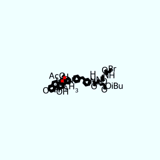 CC(=O)OCC(=O)[C@@]12CN(c3ccc(Cc4cccc(NC(=O)[C@H](CCC(=O)OCC(C)C)NC(=O)CNC(=O)CBr)c4)cc3)C[C@@H]1C[C@H]1[C@@H]3CCC4=CC(=O)C=C[C@]4(C)[C@H]3[C@@H](O)C[C@@]12C